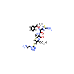 NCCn1nnnc1SCC1=C(C(=O)O)N2C(=O)C(NC(=O)C(=NOC(C(=O)O)c3ccccc3)c3nsc(N)n3)[C@@H]2SC1